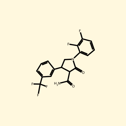 NC(=O)C1C(=O)N(c2cccc(F)c2F)CC1c1cccc(C(F)(F)F)c1